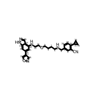 N#Cc1cc(CNCCCCOCCNc2cc(-c3cnoc3)cc3[nH]ncc23)ccc1C1CC1